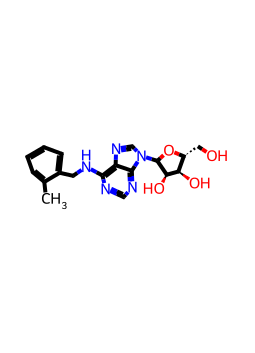 Cc1ccccc1CNc1ncnc2c1ncn2C1O[C@H](CO)[C@@H](O)[C@H]1O